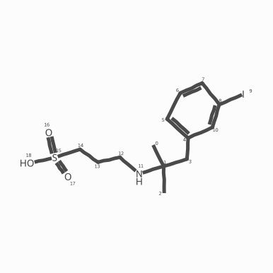 CC(C)(Cc1cccc(I)c1)NCCCS(=O)(=O)O